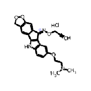 C#CCO/N=C1/c2cc3c(cc2-c2[nH]c4ccc(OCCN(C)C)cc4c21)COO3.Cl